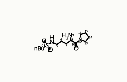 CCCCS(=O)(=O)NCCCC(N)C(=O)N1CCCC1